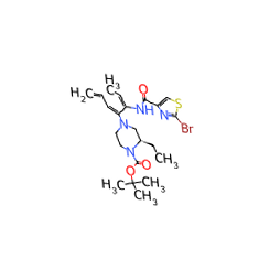 C=C/C=C(\C(=C/C)NC(=O)c1csc(Br)n1)N1CCN(C(=O)OC(C)(C)C)[C@H](CC)C1